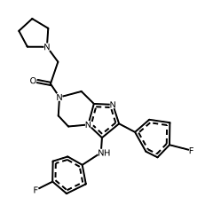 O=C(CN1CCCC1)N1CCn2c(nc(-c3ccc(F)cc3)c2Nc2ccc(F)cc2)C1